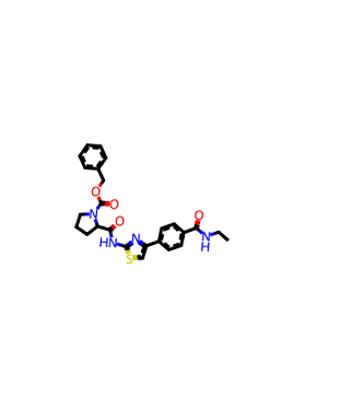 CCNC(=O)c1ccc(-c2csc(NC(=O)C3CCCN3C(=O)OCc3ccccc3)n2)cc1